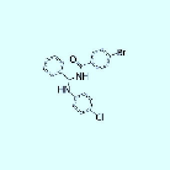 O=C(NC(Nc1ccc(Cl)cc1)c1ccccc1)c1ccc(Br)cc1